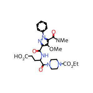 CCOC(=O)N1CCN(C(=O)C(CCC(=O)O)NC(=O)c2nn(-c3ccccc3)c(C(=O)NC)c2OC)CC1